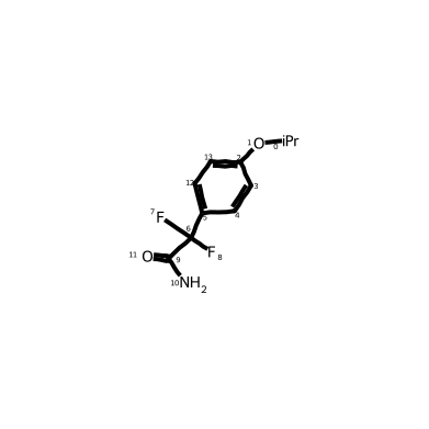 CC(C)Oc1ccc(C(F)(F)C(N)=O)cc1